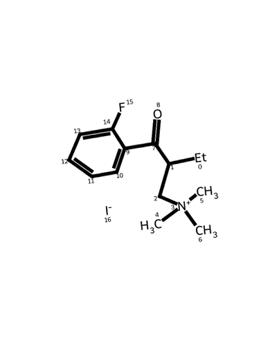 CCC(C[N+](C)(C)C)C(=O)c1ccccc1F.[I-]